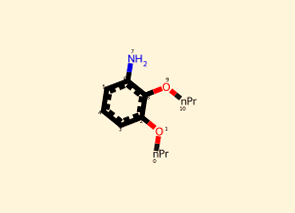 CCCOc1cccc(N)c1OCCC